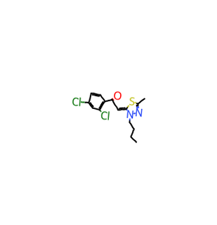 CCCCN1N=C(C)SC1=CC(=O)c1ccc(Cl)cc1Cl